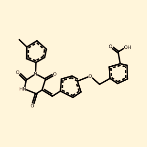 Cc1cccc(N2C(=O)NC(=O)C(=Cc3ccc(OCc4cccc(C(=O)O)c4)cc3)C2=O)c1